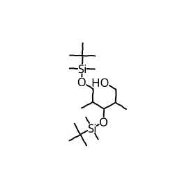 CC(CO)C(O[Si](C)(C)C(C)(C)C)C(C)CO[Si](C)(C)C(C)(C)C